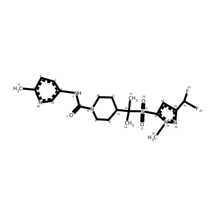 Cc1ccc(NC(=O)N2CCC(C(C)(C)S(=O)(=O)c3cc(C(F)F)nn3C)CC2)cn1